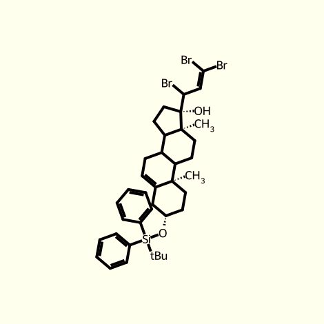 CC(C)(C)[Si](O[C@H]1CC[C@@]2(C)C(=CCC3C2CC[C@@]2(C)C3CC[C@@]2(O)C(Br)C=C(Br)Br)C1)(c1ccccc1)c1ccccc1